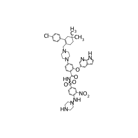 CC1(C)CCC(CN2CCN(c3ccc(C(=O)NS(=O)(=O)c4ccc(NN5CCNCC5)c([N+](=O)[O-])c4)c(Oc4cnc5[nH]ccc5c4)c3)CC2)=C(c2ccc(Cl)cc2)C1